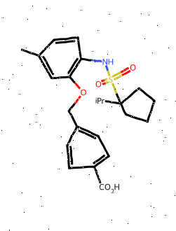 Cc1ccc(NS(=O)(=O)C2(C(C)C)CCCC2)c(OCc2ccc(C(=O)O)cc2)c1